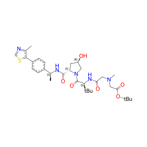 Cc1ncsc1-c1ccc([C@H](C)NC(=O)[C@@H]2C[C@@H](O)CN2C(=O)[C@@H](NC(=O)CN(C)CC(=O)OC(C)(C)C)C(C)(C)C)cc1